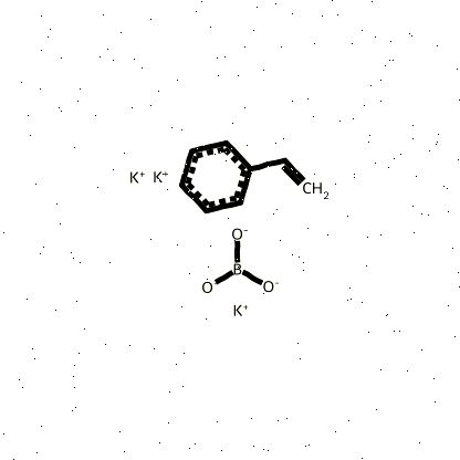 C=Cc1ccccc1.[K+].[K+].[K+].[O-]B([O-])[O-]